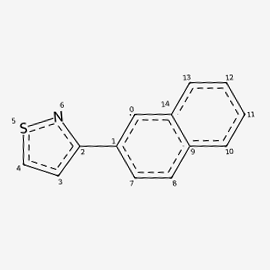 [c]1c(-c2ccsn2)ccc2ccccc12